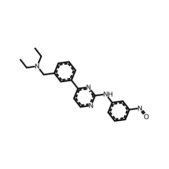 CCN(CC)Cc1cccc(-c2ccnc(Nc3cccc(N=O)c3)n2)c1